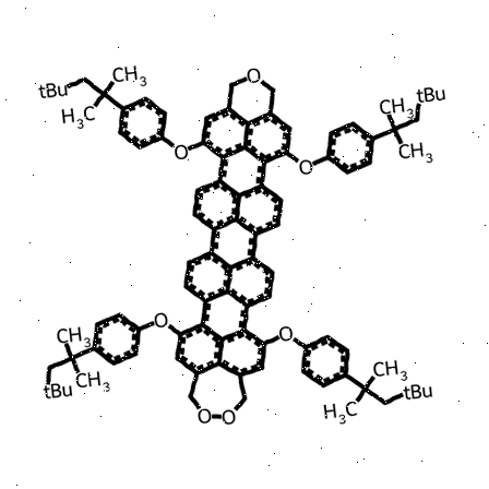 CC(C)(C)CC(C)(C)c1ccc(Oc2cc3c4c(cc(Oc5ccc(C(C)(C)CC(C)(C)C)cc5)c5c6ccc7c8ccc9c%10c(Oc%11ccc(C(C)(C)CC(C)(C)C)cc%11)cc%11c%12c(cc(Oc%13ccc(C(C)(C)CC(C)(C)C)cc%13)c(c%13ccc(c%14ccc(c2c45)c6c%147)c8c%139)c%12%10)COOC%11)COC3)cc1